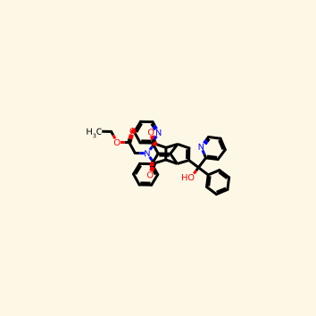 CCOC(=O)CN1C(=O)C2C3C=C(C(O)(c4ccccc4)c4ccccn4)C(C3=C(c3ccccc3)c3ccccn3)C2C1=O